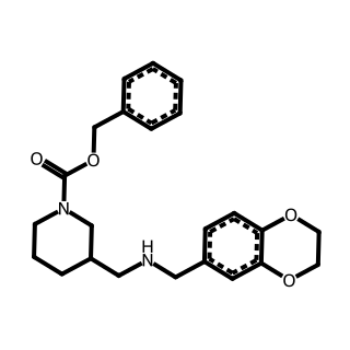 O=C(OCc1ccccc1)N1CCCC(CNCc2ccc3c(c2)OCCO3)C1